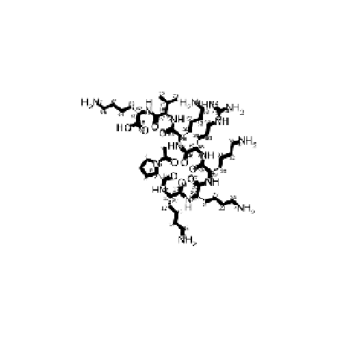 CC(=O)N1CCC[C@H]1C(=O)N[C@@H](CCCCN)C(=O)N[C@@H](CCCCN)C(=O)N[C@@H](CCCCN)C(=O)N[C@@H](CCCNC(=N)N)C(=O)N[C@@H](CCCCN)C(=O)N[C@H](C(=O)N[C@@H](CCCCN)C(=O)O)C(C)C